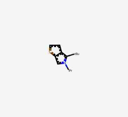 CC(C)n1cc2sccc2c1C(C)(C)C